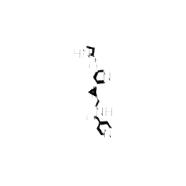 O=C(NCC[C@H]1C[C@@H]1c1cncc(OC[C@@H]2CCN2)c1)c1ccncc1